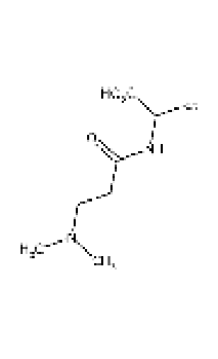 CCC(NC(=O)CCN(C)C)C(=O)O